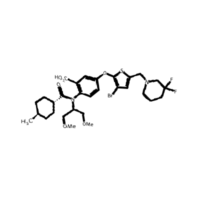 COCC(COC)N(c1ccc(Oc2sc(CN3CCCC(F)(F)C3)cc2Br)cc1C(=O)O)C(=O)[C@H]1CC[C@H](C)CC1